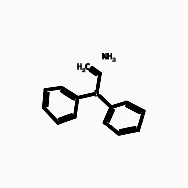 C=CB(c1ccccc1)c1ccccc1.N